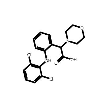 O=C(O)C(c1ccccc1Nc1c(Cl)cccc1Cl)N1CCOCC1